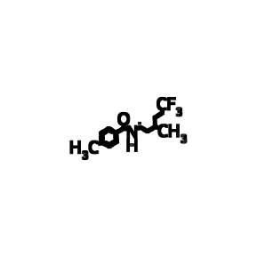 Cc1ccc(C(=O)N[CH]CC(C)CCC(F)(F)F)cc1